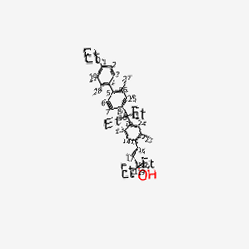 CCc1ccc(-c2ccc(C(CC)(CC)c3ccc(/C=C/C(O)(CC)CC)c(C)c3)cc2C)cc1